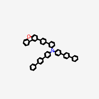 c1ccc(-c2ccc(-c3ccc(N(c4ccc(-c5ccc(-c6ccccc6)cc5)cc4)c4cccc(-c5ccc(-c6ccc7oc8ccccc8c7c6)cc5)c4)cc3)cc2)cc1